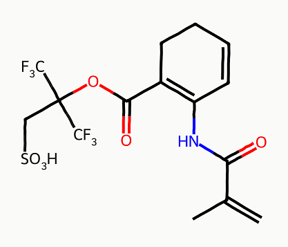 C=C(C)C(=O)NC1=C(C(=O)OC(CS(=O)(=O)O)(C(F)(F)F)C(F)(F)F)CCC=C1